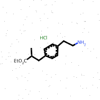 CCOC(=O)C(C)Cc1ccc(CCN)cc1.Cl